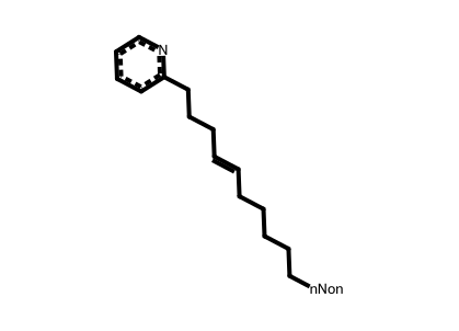 CCCCCCCCCCCCCCC=CCCCc1ccccn1